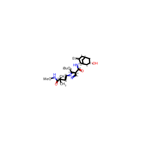 CCC1CC2CC(C[C@@H](O)C2)[C@@H]1NC(=O)c1cnn(/C=C/C(C)(C)C(=O)NOC)c1OCC(C)C